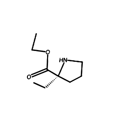 CCOC(=O)[C@]1(CC)CCCN1